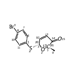 C[13C@H]1O[C@H](Sc2ccc(Br)cc2)C=CC1=O